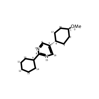 CO[C@H]1CC[C@H](c2cnc(C3CCCCC3)nc2)CC1